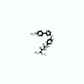 Cc1ccc(-c2cc(Oc3ccc(NC(=O)NC(=O)C(C)C)nc3)ccn2)cn1